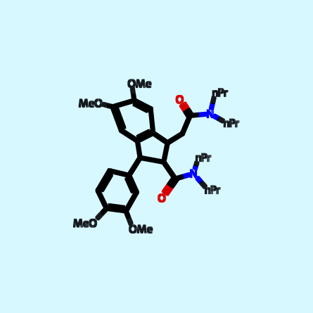 CCCN(CCC)C(=O)CC1c2cc(OC)c(OC)cc2C(c2ccc(OC)c(OC)c2)C1C(=O)N(CCC)CCC